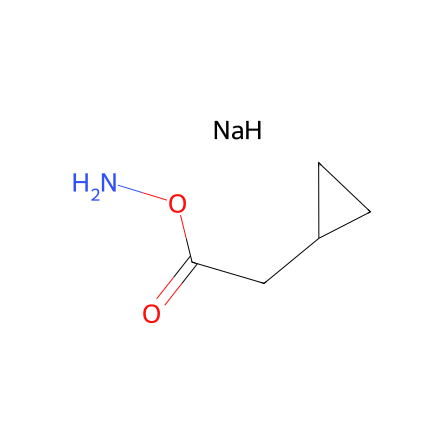 NOC(=O)CC1CC1.[NaH]